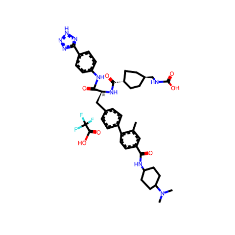 Cc1cc(C(=O)NC2CCC(N(C)C)CC2)ccc1-c1ccc(C[C@H](NC(=O)[C@H]2CC[C@H](CNC(=O)O)CC2)C(=O)Nc2ccc(-c3nn[nH]n3)cc2)cc1.O=C(O)C(F)(F)F